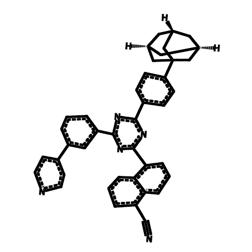 N#Cc1cccc2c(-c3nc(-c4ccc(C56C[C@H]7C[C@@H](C5)C[C@@H](C6)C7)cc4)nc(-c4cccc(-c5ccncc5)c4)n3)cccc12